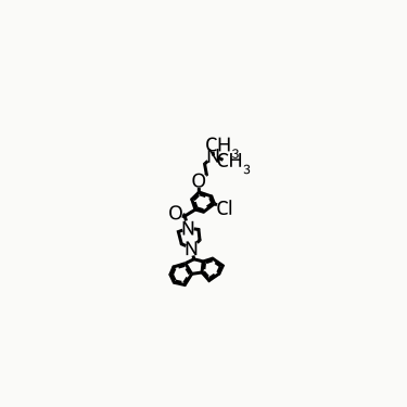 CN(C)CCOc1cc(Cl)cc(C(=O)N2CCN(C3c4ccccc4-c4ccccc43)CC2)c1